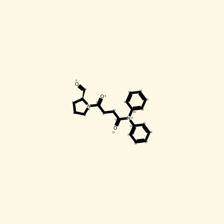 O=C[C@@H]1CCCN1C(=O)CCC(=O)N(c1ccccc1)c1ccccc1